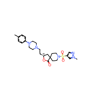 Cc1ccc(N2CCN(CC[C@H]3CC4(CCN(S(=O)(=O)c5cnn(C)c5)CC4)C(=O)O3)CC2)cc1